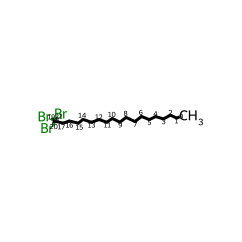 CCCCCCCCCCCCCCCCCCC(Br)(Br)Br